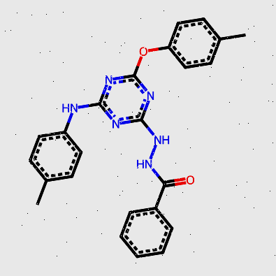 Cc1ccc(Nc2nc(NNC(=O)c3ccccc3)nc(Oc3ccc(C)cc3)n2)cc1